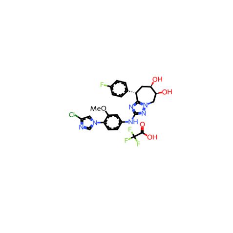 COc1cc(Nc2nc3n(n2)C[C@H](O)[C@H](O)C[C@H]3c2ccc(F)cc2)ccc1-n1cnc(Cl)c1.O=C(O)C(F)(F)F